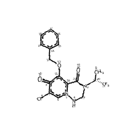 C[C@@H](N1CNn2cc(Cl)c(=O)c(OCc3ccccc3)c2C1=O)C(F)(F)F